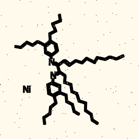 CCCCCCCCC/C=C/C(=N\c1ccc(CCCCC)c(CCCCC)c1)C(/CCCCCCCCCCC)=N/c1ccc(CCCCC)c(CCCCC)c1.[Ni]